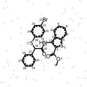 COC(=O)c1sc2ccccc2c1NC(=O)C(Sc1ccc(Br)cc1)c1ccccc1